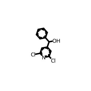 OC(c1ccccc1)c1cc(Cl)nc(Cl)c1